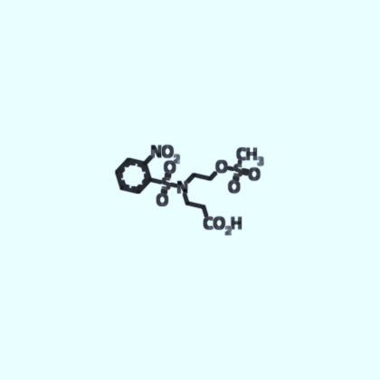 CS(=O)(=O)OCCN(CCC(=O)O)S(=O)(=O)c1ccccc1[N+](=O)[O-]